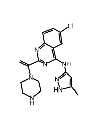 C=C(c1nc(Nc2cc(C)[nH]n2)c2cc(Cl)ccc2n1)N1CCNCC1